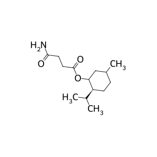 CC1CC[C@@H](C(C)C)C(OC(=O)CCC(N)=O)C1